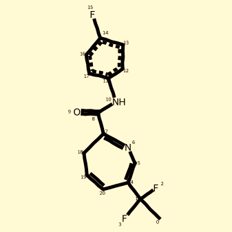 CC(F)(F)C1=CN=C(C(=O)Nc2ccc(F)cc2)CC=C1